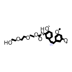 COc1cc(/C=C\c2ccc(OC)c(NC(=O)OCCOCCOCCO)c2)cc(OC)c1